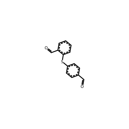 O=Cc1ccc(Sc2ccccc2C=O)cc1